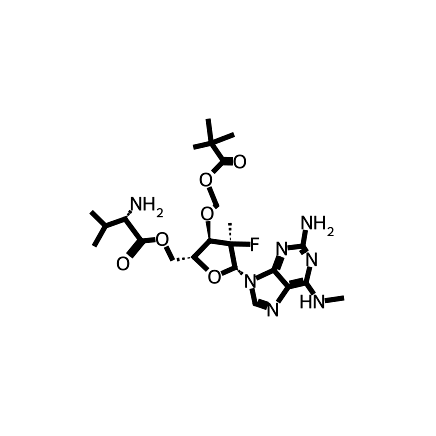 CNc1nc(N)nc2c1ncn2[C@@H]1O[C@H](COC(=O)[C@@H](N)C(C)C)[C@@H](OCOC(=O)C(C)(C)C)[C@@]1(C)F